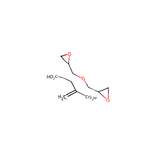 C(OCC1CO1)C1CO1.C=C(CC(=O)O)C(=O)O